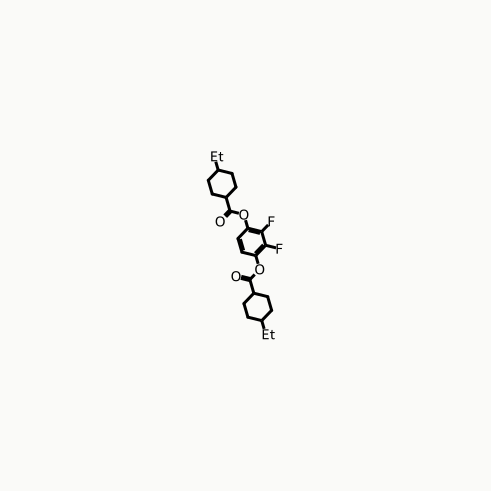 CCC1CCC(C(=O)Oc2ccc(OC(=O)C3CCC(CC)CC3)c(F)c2F)CC1